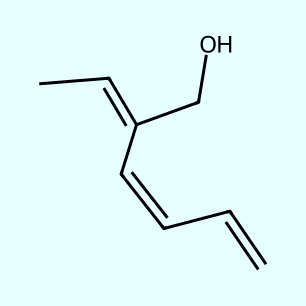 C=C/C=C\C(=C/C)CO